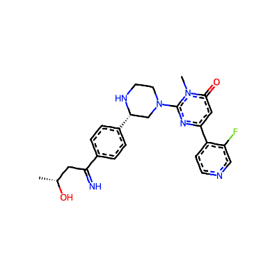 C[C@@H](O)CC(=N)c1ccc([C@H]2CN(c3nc(-c4ccncc4F)cc(=O)n3C)CCN2)cc1